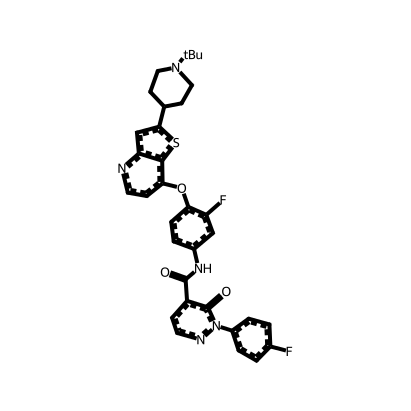 CC(C)(C)N1CCC(c2cc3nccc(Oc4ccc(NC(=O)c5ccnn(-c6ccc(F)cc6)c5=O)cc4F)c3s2)CC1